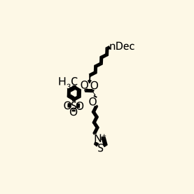 CCCCCCCCCCCCCCCCC[C@@H]1OC[C@@H](COCCCCCC[n+]2ccsc2)O1.Cc1ccc(S(=O)(=O)[O-])cc1